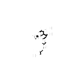 Cc1cc(N2CC(NOC[C@@H](O)CO)C2)nc2c1c(=O)c(C(=O)O)cn2-c1ncns1